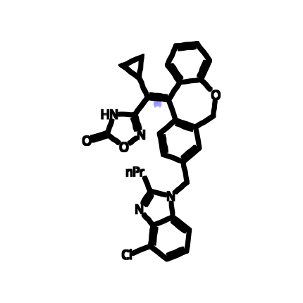 CCCc1nc2c(Cl)cccc2n1Cc1ccc2c(c1)COc1ccccc1/C2=C(/c1noc(=O)[nH]1)C1CC1